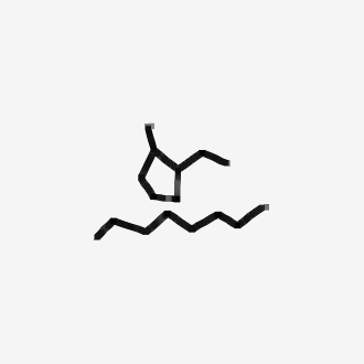 [CH2]C1CCCC1CC.[CH2]CCCCCCC